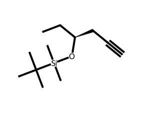 C#CC[C@H](CC)O[Si](C)(C)C(C)(C)C